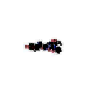 Cc1c(C(=O)Nc2ccc(Oc3ccnc4cc(OC[Si](C)(C)O)ccc34)cn2)c(=O)n(-c2ccccc2)n1CC(C)(C)O